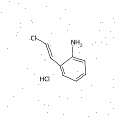 Cl.Nc1ccccc1C=CCl